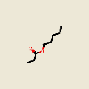 CCCC[CH]OC(=O)CC